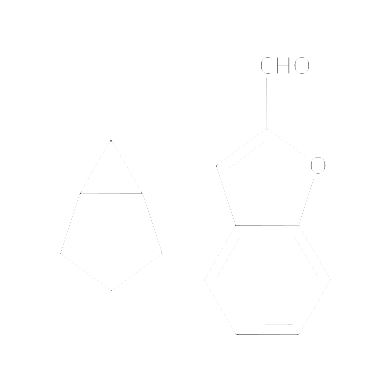 C1CC2CC2C1.O=Cc1cc2ccccc2o1